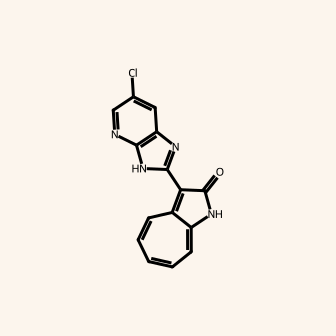 O=c1[nH]c2cccccc-2c1-c1nc2cc(Cl)cnc2[nH]1